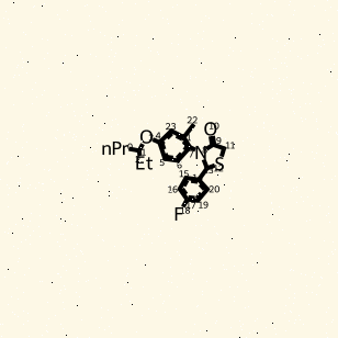 CCCC(CC)Oc1ccc(N2C(=O)CSC2c2ccc(F)cc2)c(C)c1